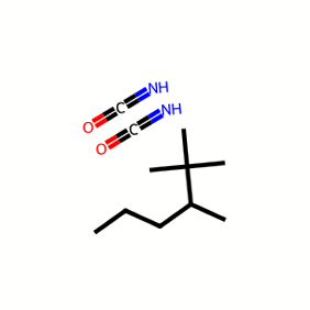 CCCC(C)C(C)(C)C.N=C=O.N=C=O